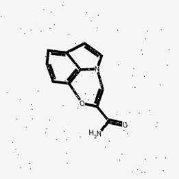 NC(=O)C1=Cn2ccc3cccc(c32)O1